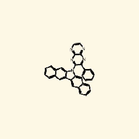 c1ccc(-c2nc3nccnc3nc2-n2c3cc4ccccc4cc3c3cc4ccccc4cc32)cc1